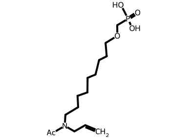 C=CCN(CCCCCCCCCOCP(=O)(O)O)C(C)=O